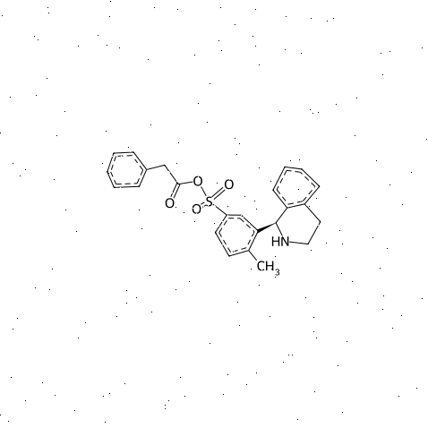 Cc1ccc(S(=O)(=O)OC(=O)Cc2ccccc2)cc1[C@@H]1NCCc2ccccc21